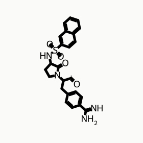 N=C(N)c1ccc(CC([C]=O)N2CCC(NS(=O)(=O)c3ccc4ccccc4c3)C2=O)cc1